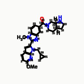 COc1ccc2cc(-c3nc4cc(C(=O)N5CC[C@@H]6CCN[C@@H]6C5)ccc4n3C)n(CC3CC3)c2n1